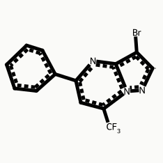 FC(F)(F)c1cc(-c2ccccc2)nc2c(Br)[c]nn12